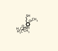 CCOc1ccc(NC(=O)C(C)(C)C)cc1CCCS